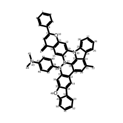 C=C1C=C(c2ccccc2)Oc2cc3c(cc21)B1c2c(cc(C)c4c5ccccc5n-3c24)-c2cc3c(cc2N1c1ccc(N(C)C)cc1)oc1ccccc13